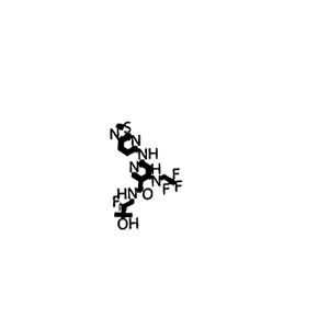 CC(C)(O)[C@H](F)CNC(=O)c1cnc(Nc2ccc3ncsc3n2)cc1NCC(F)(F)F